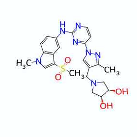 Cc1nn(-c2ccnc(Nc3ccc4c(c3)c(S(C)(=O)=O)cn4C)n2)cc1CN1C[C@@H](O)[C@@H](O)C1